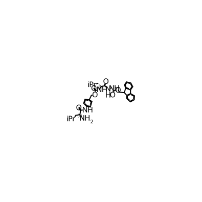 CC(C)C[C@H](N)C(=O)Nc1ccc(COC(=O)N[C@H](CC(C)C)C(=O)NNC(=O)OCC2c3ccccc3-c3ccccc32)cc1